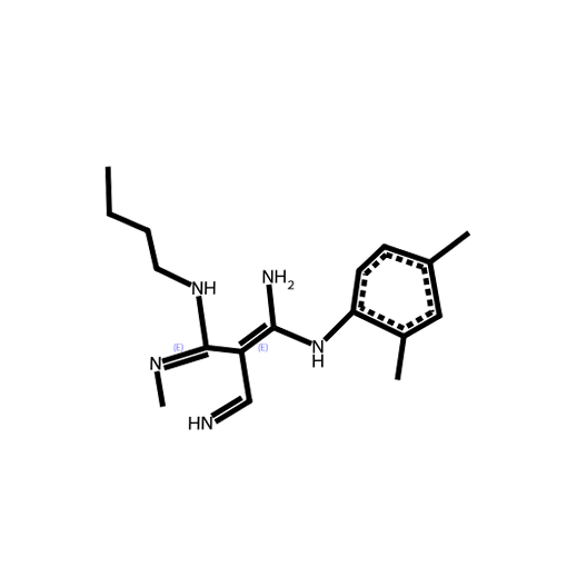 CCCCNC(=N/C)/C(C=N)=C(\N)Nc1ccc(C)cc1C